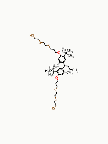 CCCC(c1cc(C(C)(C)C)c(OCCCSCCSCCS)cc1C)c1cc(C(C)(C)C)c(OCCCSCCSCCS)cc1C